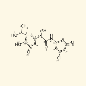 CC(O)c1cc(N(S)C(=O)Nc2cc(Cl)cc(Cl)c2)cc(Cl)c1O